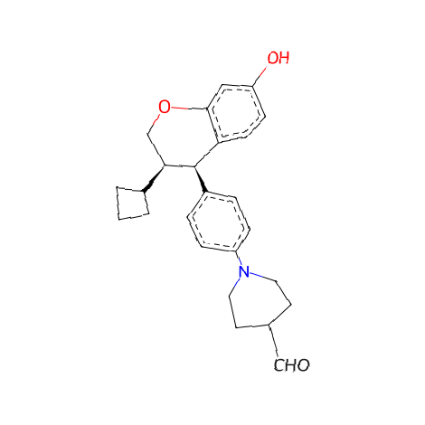 O=CC1CCN(c2ccc([C@@H]3c4ccc(O)cc4OC[C@@H]3C3CCC3)cc2)CC1